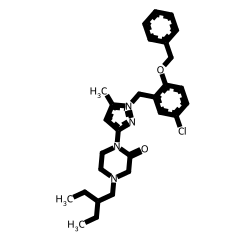 CCC(CC)CN1CCN(c2cc(C)n(Cc3cc(Cl)ccc3OCc3ccccc3)n2)C(=O)C1